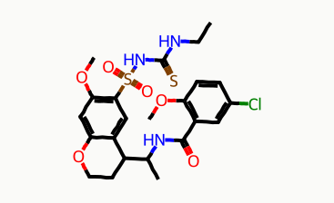 CCNC(=S)NS(=O)(=O)c1cc2c(cc1OC)OCCC2C(C)NC(=O)c1cc(Cl)ccc1OC